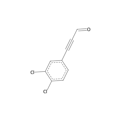 O=CC#Cc1ccc(Cl)c(Cl)c1